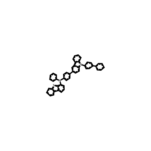 c1ccc(-c2ccc(-n3c4ccccc4c4cc(-c5ccc(N(c6ccccc6)c6cccc7c6sc6ccccc67)cc5)ccc43)cc2)cc1